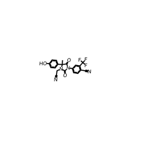 CC1(c2ccc(O)cc2)C(=O)N(c2ccc(C#N)c(C(F)(F)F)c2)C(=O)N1CC#N